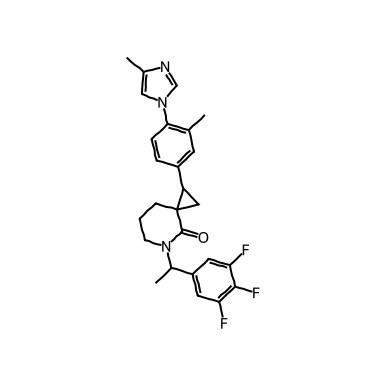 Cc1cn(-c2ccc(C3CC34CCCN(C(C)c3cc(F)c(F)c(F)c3)C4=O)cc2C)cn1